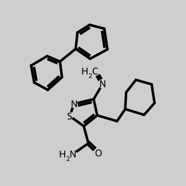 C=Nc1nsc(C(N)=O)c1CC1CCCCC1.c1ccc(-c2ccccc2)cc1